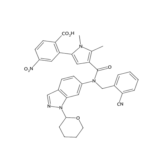 Cc1c(C(=O)N(Cc2ccccc2C#N)c2ccc3cnn(C4CCCCO4)c3c2)cc(-c2cc([N+](=O)[O-])ccc2C(=O)O)n1C